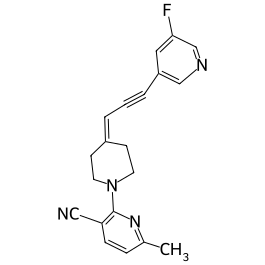 Cc1ccc(C#N)c(N2CCC(=CC#Cc3cncc(F)c3)CC2)n1